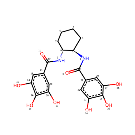 O=C(N[C@@H]1CCCC[C@H]1NC(=O)c1cc(O)c(O)c(O)c1)c1cc(O)c(O)c(O)c1